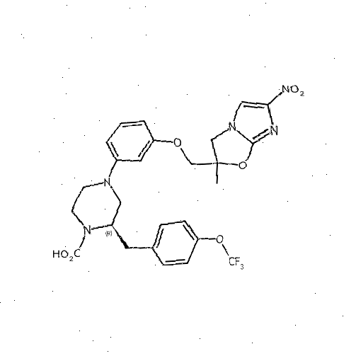 CC1(COc2cccc(N3CCN(C(=O)O)[C@H](Cc4ccc(OC(F)(F)F)cc4)C3)c2)Cn2cc([N+](=O)[O-])nc2O1